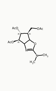 CC(=O)OC[C@H]1C2OC(N(C)C)=NC2[C@@H](OC(C)=O)[C@@H]1OC(C)=O